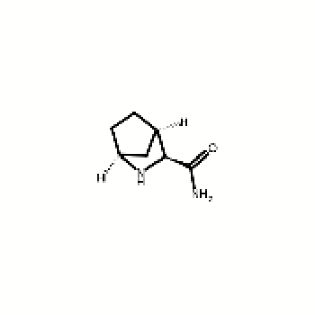 NC(=O)[C@H]1N[C@H]2CC[C@@H]1C2